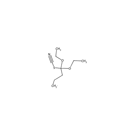 [CH2]CCC(OCC)(OCC)SC#N